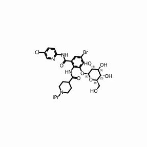 CC(C)N1CCC(C(=O)Nc2c(O[C@@H]3O[C@H](CO)[C@@H](O)[C@H](O)[C@H]3O)cc(Br)cc2C(=O)Nc2ccc(Cl)cn2)CC1